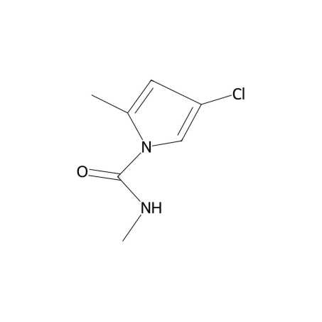 CNC(=O)n1cc(Cl)cc1C